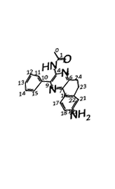 CC(=O)Nc1nc2c(nc1-c1ccccc1)-c1ccc(N)cc1CC2